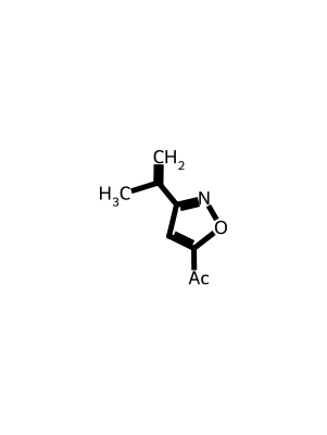 C=C(C)c1cc(C(C)=O)on1